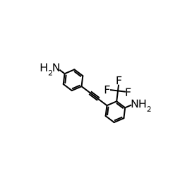 Nc1ccc(C#Cc2cccc(N)c2C(F)(F)F)cc1